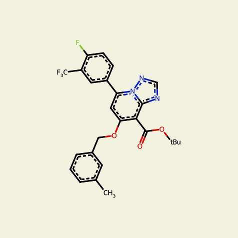 Cc1cccc(COc2cc(-c3ccc(F)c(C(F)(F)F)c3)n3ncnc3c2C(=O)OC(C)(C)C)c1